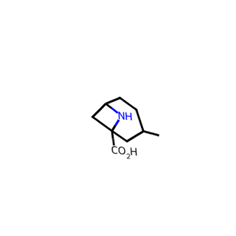 CC1CCC2CC(C(=O)O)(C1)N2